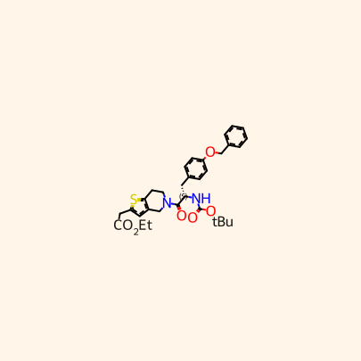 CCOC(=O)Cc1cc2c(s1)CCN(C(=O)[C@H](Cc1ccc(OCc3ccccc3)cc1)NC(=O)OC(C)(C)C)C2